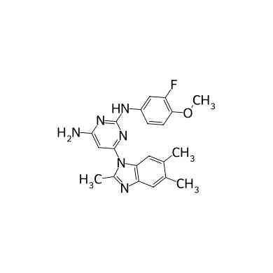 COc1ccc(Nc2nc(N)cc(-n3c(C)nc4cc(C)c(C)cc43)n2)cc1F